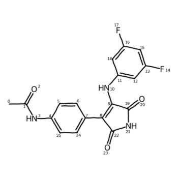 CC(=O)Nc1ccc(C2=C(Nc3cc(F)cc(F)c3)C(=O)NC2=O)cc1